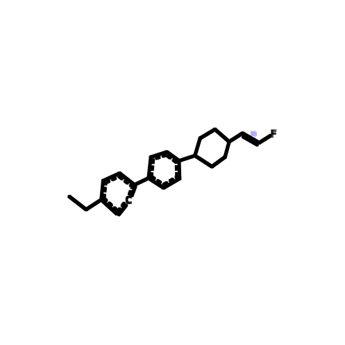 CCc1ccc(-c2ccc(C3CCC(/C=C/F)CC3)cc2)cc1